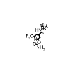 CC(N[S+]([O-])C(C)(C)C)c1cc(OC(N)=O)nc(C(F)(F)F)c1